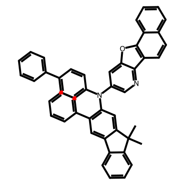 CC1(C)c2ccccc2-c2cc(-c3ccccc3)c(N(c3ccc(-c4ccccc4)cc3)c3cnc4c(c3)oc3c5ccccc5ccc43)cc21